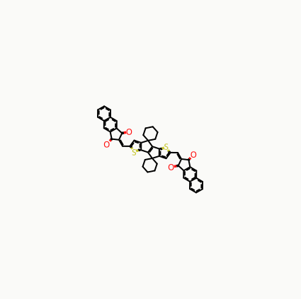 O=C1C(=Cc2cc3c(s2)C2=C(c4sc(C=C5C(=O)c6cc7ccccc7cc6C5=O)cc4C24CCCCC4)C32CCCCC2)C(=O)c2cc3ccccc3cc21